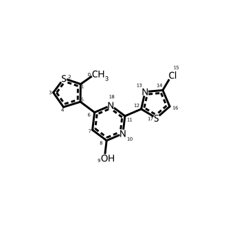 Cc1sccc1-c1cc(O)nc(-c2nc(Cl)cs2)n1